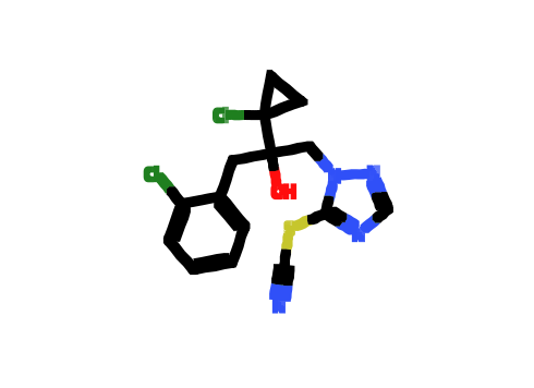 N#CSc1ncnn1CC(O)(Cc1ccccc1Cl)C1(Cl)CC1